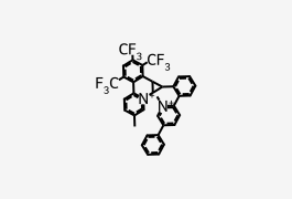 Cc1ccc2[n+](c1)C1C(c3ccccc3-c3ccc(-c4ccccc4)c[n+]3C)C1c1c-2c(C(F)(F)F)cc(C(F)(F)F)c1C(F)(F)F